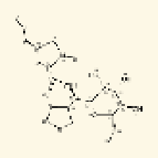 CCC[C@@H]1C[C@@H](C(=O)N[C@H](C2CCCC2)[C@H]2O[C@H](SC)[C@H](O)[C@@H](O)[C@H]2O)N(C)C1